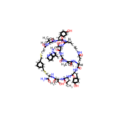 CCC[C@@H]1NC(=O)[C@H](Cc2ccc(O)cc2)NC(=O)[C@@H]2CCC(=O)NCCCC[C@H](NC(=O)[C@H](Cc3ccc(O)cc3)NC(=O)[C@H](C(C)(C)C)NC(=O)CCSCc3cccc(c3)CSC[C@@H](C(N)=O)NC(=O)[C@H]([C@@H](C)O)NC1=O)C(=O)N[C@@H]([C@@H](C)O)C(=O)N[C@@H](Cc1c[nH]c3ncccc13)C(=O)NC(C)(C)C(=O)N2